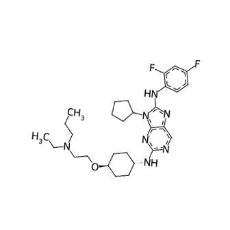 CCCN(CC)CCO[C@H]1CC[C@H](Nc2ncc3nc(Nc4ccc(F)cc4F)n(C4CCCC4)c3n2)CC1